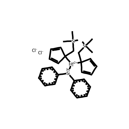 C[Si](C)(C)C[C]1([Hf+2]([SiH](c2ccccc2)c2ccccc2)[C]2(C[Si](C)(C)C)C=CC=C2)C=CC=C1.[Cl-].[Cl-]